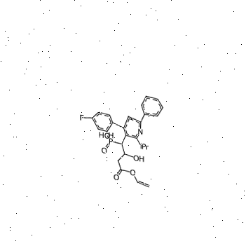 C=COC(=O)CC(O)C(c1c(-c2ccc(F)cc2)cc(-c2ccccc2)nc1C(C)C)[PH](=O)O